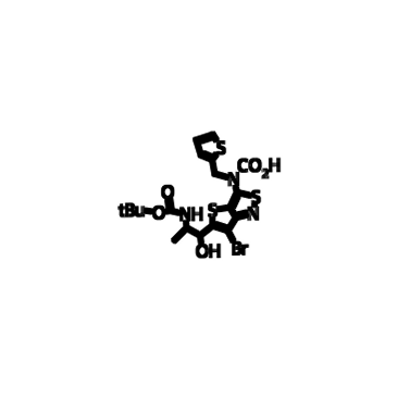 CC(NC(=O)OC(C)(C)C)C(O)c1sc2c(N(Cc3cccs3)C(=O)O)snc2c1Br